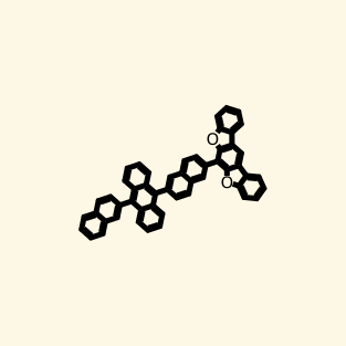 c1ccc2cc(-c3c4ccccc4c(-c4ccc5cc(-c6c7oc8ccccc8c7cc7c6oc6ccccc67)ccc5c4)c4ccccc34)ccc2c1